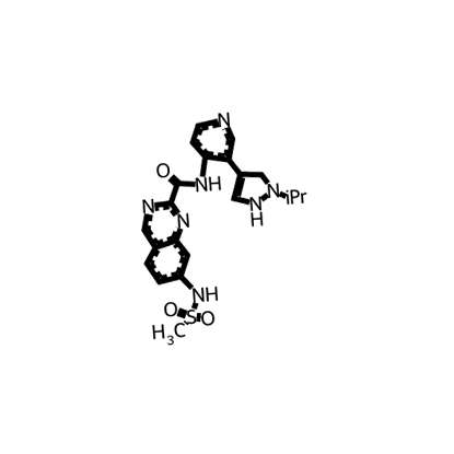 CC(C)N1CC(c2cnccc2NC(=O)c2ncc3ccc(NS(C)(=O)=O)cc3n2)=CN1